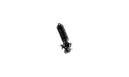 CCC(C)c1cc([N+](=O)[O-])cc([N+](=O)[O-])c1OC(=O)OCC(F)(F)C(F)(F)C(F)(F)C(F)(F)C(F)(F)C(F)(F)C(F)(F)C(F)(F)C(F)(F)C(F)(F)C(F)(F)F